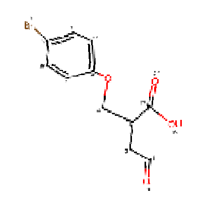 O=CCC(COc1ccc(Br)cc1)C(=O)O